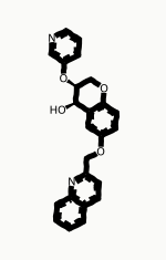 O[C@@H]1c2cc(OCc3ccc4ccccc4n3)ccc2OC[C@@H]1Oc1cccnc1